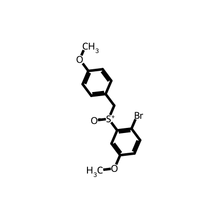 COc1ccc(C[S+]([O-])c2cc(OC)ccc2Br)cc1